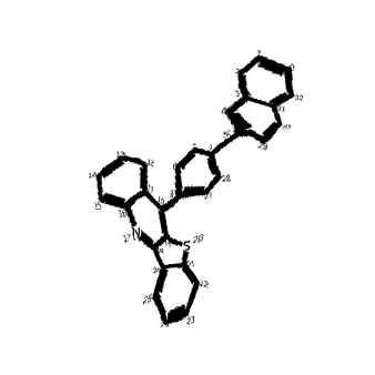 c1ccc2cc(-c3ccc(-c4c5ccccc5nc5c4sc4ccccc45)cc3)ccc2c1